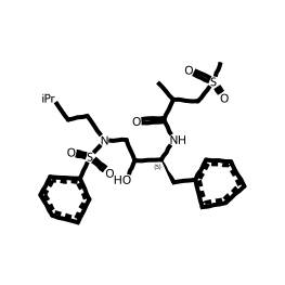 CC(C)CCN(CC(O)[C@H](Cc1ccccc1)NC(=O)C(C)CS(C)(=O)=O)S(=O)(=O)c1ccccc1